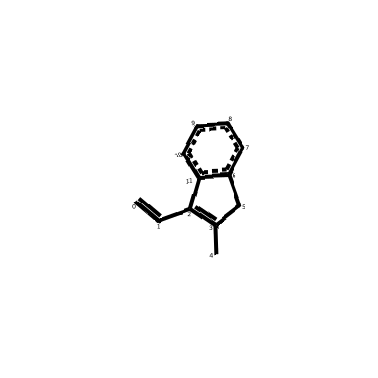 C=CC1=C(C)Cc2ccccc21